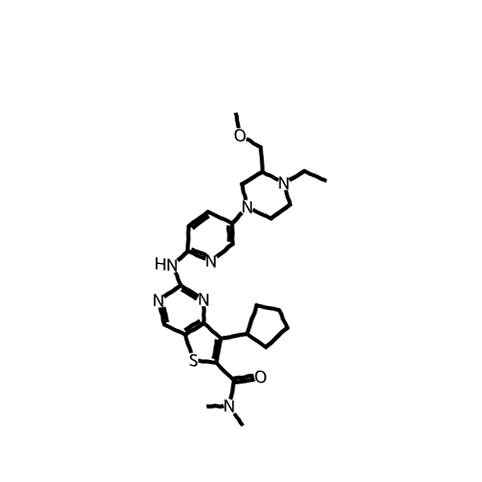 CCN1CCN(c2ccc(Nc3ncc4sc(C(=O)N(C)C)c(C5CCCC5)c4n3)nc2)CC1COC